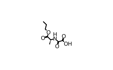 CCCOC(=O)[C@H](C)NC(=O)C(=O)O